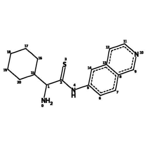 NC(C(=S)Nc1ccc2cnccc2c1)C1CCCCC1